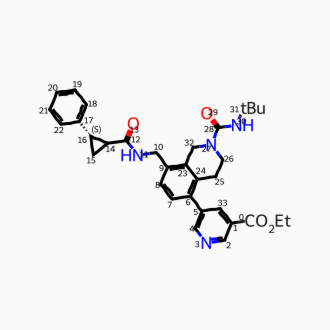 CCOC(=O)c1cncc(-c2ccc(CNC(=O)C3C[C@@H]3c3ccccc3)c3c2CCN(C(=O)NC(C)(C)C)C3)c1